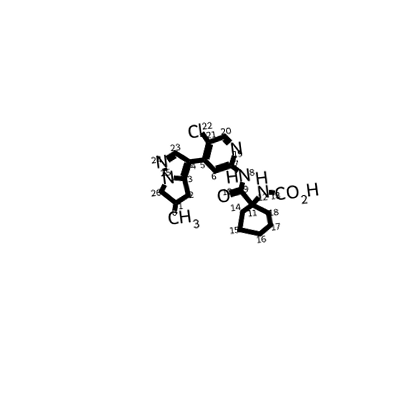 CC1Cc2c(-c3cc(NC(=O)C4(NC(=O)O)CCCCC4)ncc3Cl)cnn2C1